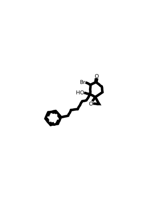 O=C1CCC2(CO2)C(O)(CCCCCc2ccccc2)C1Br